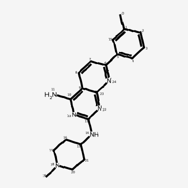 Cc1cccc(-c2ccc3c(N)nc(NC4CCN(C)CC4)nc3n2)c1